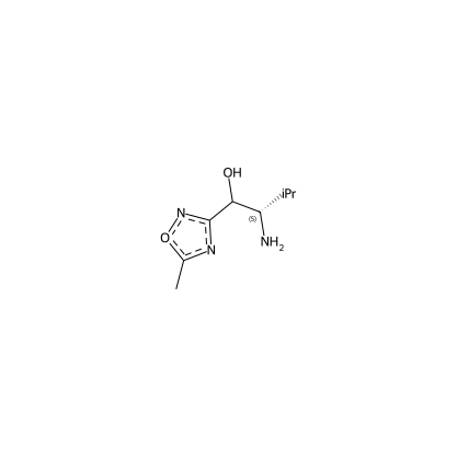 Cc1nc(C(O)[C@@H](N)C(C)C)no1